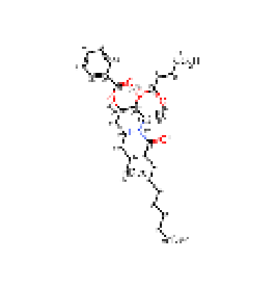 CCCCCCCCCCCCCCCCCC(=O)N[C@@H](CC)[C@H](OC(=O)CCC(=O)O)[C@@H](CCCCCCCCCCCCCC)OC(=O)c1ccccc1